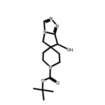 CC(C)(C)OC(=O)N1CCC2(CC1)Cn1cnnc1C2O